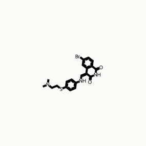 CN(C)CCSc1ccc(NC=C2C(=O)NC(=O)c3ccc(Br)cc32)cc1